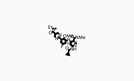 CCN(C)C(=O)c1cnc(-c2cc(F)cc(Nc3cc(NC(=O)C4CC4)nnc3C(=O)NC)c2OC)nc1